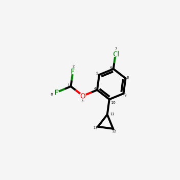 FC(F)Oc1cc(Cl)ccc1[C]1CC1